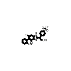 CCS(=O)(=O)c1ccc(C(CO)c2nc3c(Cl)c(-c4ccccc4C#N)c(Cl)cc3[nH]2)cc1